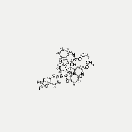 COc1cc(C(C)C2(C(C)c3cc(OC)nc4ccccc34)NC(=O)N(c3ccc(OC(F)(F)F)cc3)C2=O)c2ccccc2n1